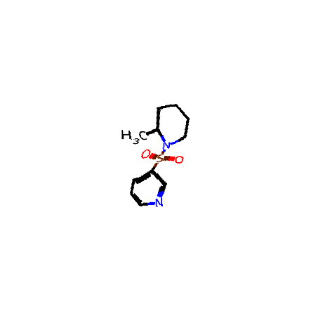 CC1CCCCN1S(=O)(=O)c1cccnc1